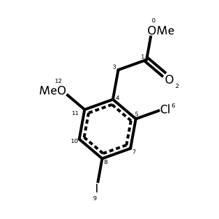 COC(=O)Cc1c(Cl)cc(I)cc1OC